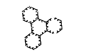 [c]1cnc2c3ccccc3c3ccccc3c2n1